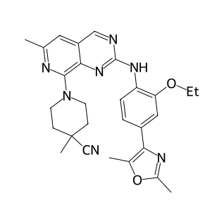 CCOc1cc(-c2nc(C)oc2C)ccc1Nc1ncc2cc(C)nc(N3CCC(C)(C#N)CC3)c2n1